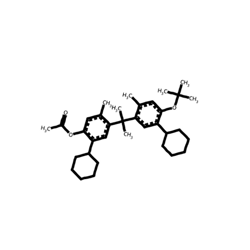 CC(=O)Oc1cc(C)c(C(C)(C)c2cc(C3CCCCC3)c(OC(C)(C)C)cc2C)cc1C1CCCCC1